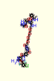 CC[C@H](NC(=O)[C@H]1C[C@@H](NCCOCCOCCOCCOCCC(=O)N2CCN(C(=O)c3ccc(NC(=O)c4cnc(N)c(O[C@H](C)c5c(F)ccc(Cl)c5F)c4)cc3)CC2)CN1C(=O)C(CNC(=O)[C@@H](C)NC)C(C)(C)C)c1ccccc1